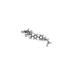 CNC(=O)[C@@](C)(C(=O)NO)N(C)C(=O)c1ccc(-c2ccc(CNCC3CC3C)cc2)cc1